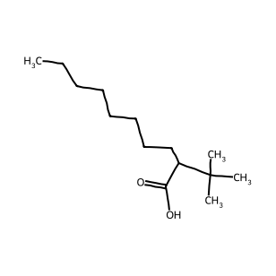 CCCCCCCCC(C(=O)O)C(C)(C)C